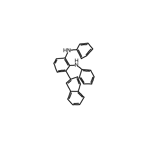 c1ccc(Nc2cccc(-c3ccc4ccccc4c3)c2Nc2ccccc2)cc1